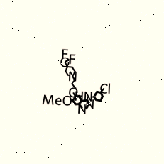 COc1cc2ncnc(Nc3cccc(Cl)c3)c2cc1OCCCN1CCC(OC(F)F)CC1